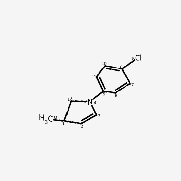 CC1C=CN(c2ccc(Cl)cc2)C1